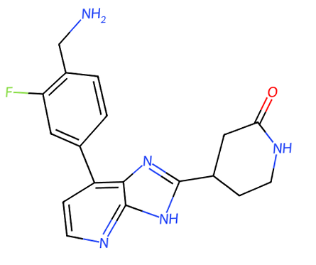 NCc1ccc(-c2ccnc3[nH]c(C4CCNC(=O)C4)nc23)cc1F